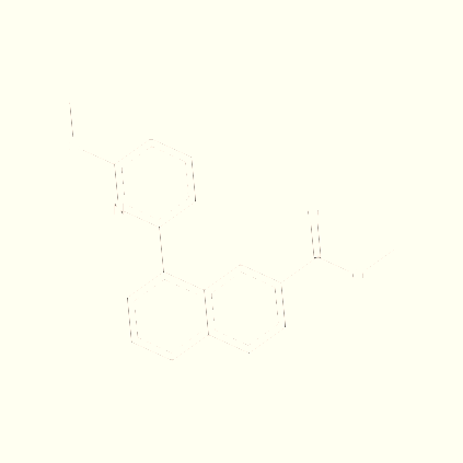 COC(=O)c1ccc2cccc(-c3cccc(OC)n3)c2c1